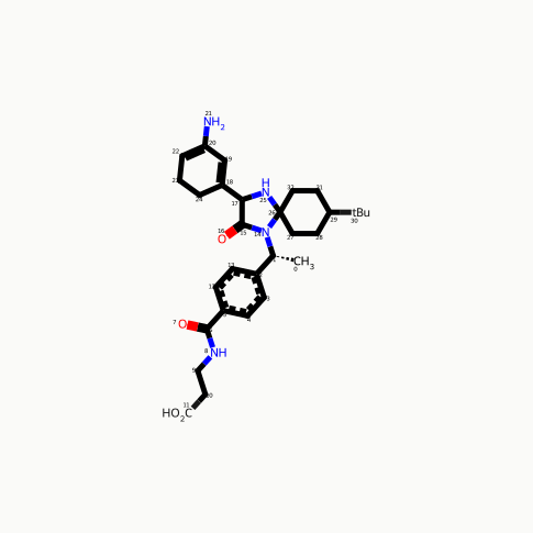 C[C@H](c1ccc(C(=O)NCCC(=O)O)cc1)N1C(=O)C(C2=CC(N)=CCC2)NC12CCC(C(C)(C)C)CC2